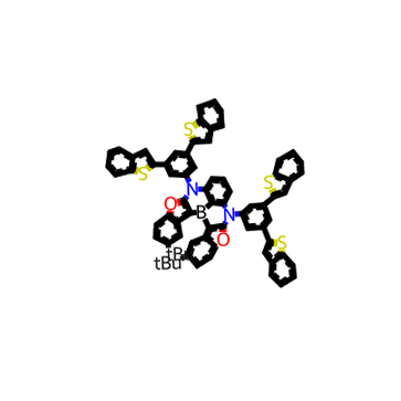 CC(C)(C)c1ccc2oc3c(c2c1)B1c2c(cccc2N(c2cc(-c4cc5ccccc5s4)cc(-c4cc5ccccc5s4)c2)c2oc4ccc(C(C)(C)C)cc4c21)N3c1cc(-c2cc3ccccc3s2)cc(-c2cc3ccccc3s2)c1